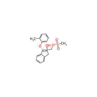 Cc1ccccc1O[C@H]1c2ccccc2C[C@@]1(O)COS(C)(=O)=O